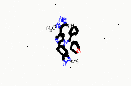 Cc1nnn(C)c1-c1cnc2c3cc4c(cc3n([C@H](c3ccccc3)C3CCOCC3)c2c1)N(C)NC4